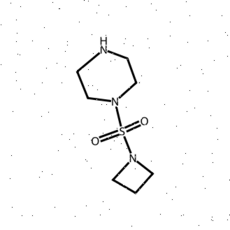 O=S(=O)(N1[CH]CNCC1)N1CCC1